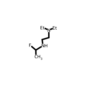 CCN(CC)CCNC(C)F